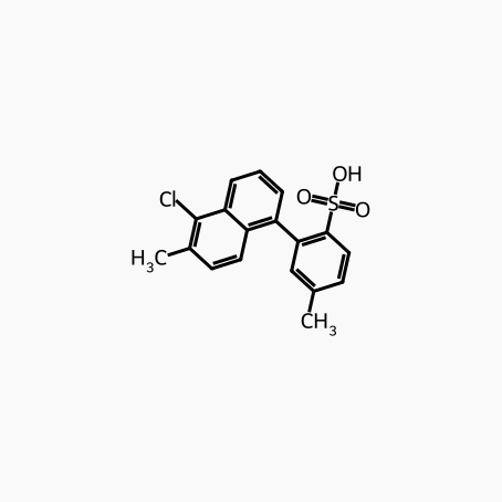 Cc1ccc(S(=O)(=O)O)c(-c2cccc3c(Cl)c(C)ccc23)c1